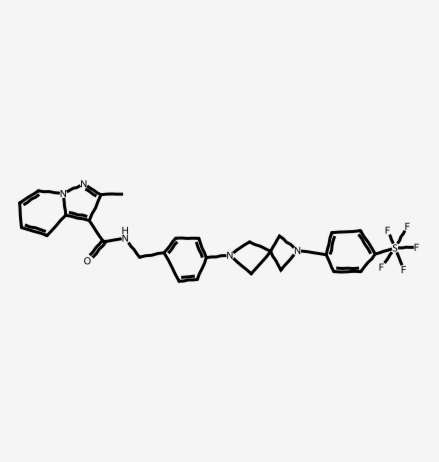 Cc1nn2ccccc2c1C(=O)NCc1ccc(N2CC3(C2)CN(c2ccc(S(F)(F)(F)(F)F)cc2)C3)cc1